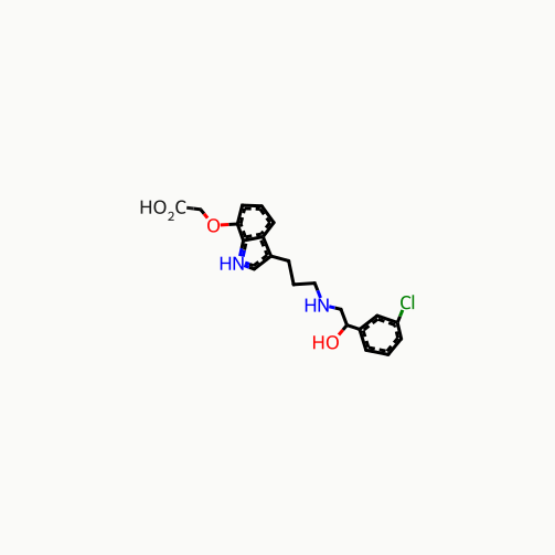 O=C(O)COc1cccc2c(CCCNCC(O)c3cccc(Cl)c3)c[nH]c12